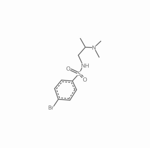 CC(CNS(=O)(=O)c1ccc(Br)cc1)N(C)C